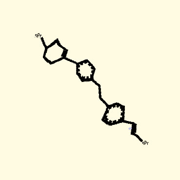 CCC/C=C/c1ccc(CCc2ccc(C3=CCC(CCC)CC3)cc2)cc1